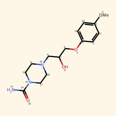 COc1ccc(OCC(O)CN2CCN(C(N)=O)CC2)cc1